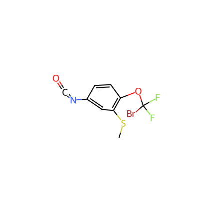 CSc1cc(N=C=O)ccc1OC(F)(F)Br